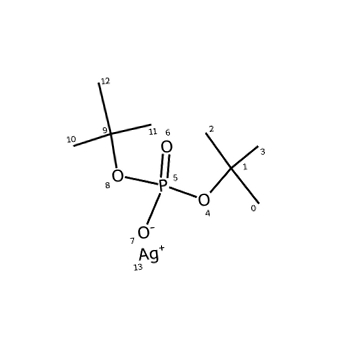 CC(C)(C)OP(=O)([O-])OC(C)(C)C.[Ag+]